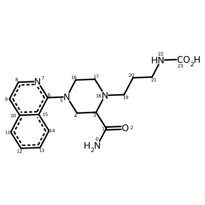 NC(=O)C1CN(c2nccc3ccccc23)CCN1CCCNC(=O)O